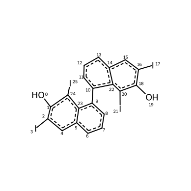 Oc1c(I)cc2cccc(-c3cccc4cc(I)c(O)c(I)c34)c2c1I